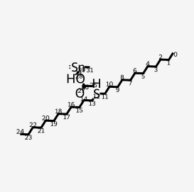 CCCCCCCCCCCC[SH](CCCCCCCCCCCC)CC(=O)O.[CH3][Sn][CH3]